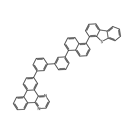 c1cc(-c2cccc(-c3cccc4c(-c5cccc6c5sc5ccccc56)cccc34)c2)cc(-c2ccc3c4ccccc4c4nccnc4c3c2)c1